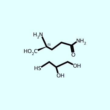 NC(=O)CC[C@H](N)C(=O)O.OCC(O)CS